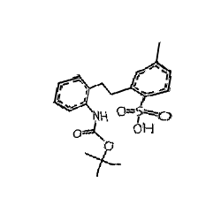 Cc1ccc(S(=O)(=O)O)c(CCc2ccccc2NC(=O)OC(C)(C)C)c1